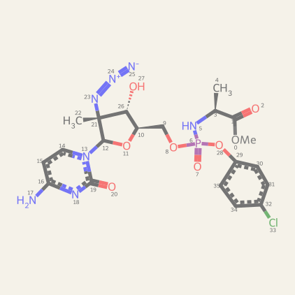 COC(=O)[C@H](C)NP(=O)(OC[C@H]1OC(n2ccc(N)nc2=O)[C@](C)(N=[N+]=[N-])[C@@H]1O)Oc1ccc(Cl)cc1